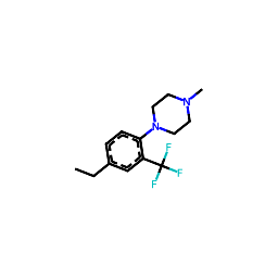 CCc1ccc(N2CCN(C)CC2)c(C(F)(F)F)c1